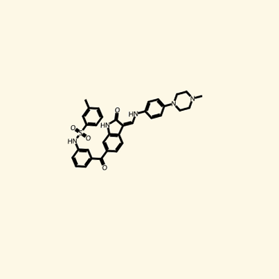 Cc1cccc(S(=O)(=O)Nc2cccc(C(=O)c3ccc4c(c3)NC(=O)C4=CNc3ccc(N4CCN(C)CC4)cc3)c2)c1